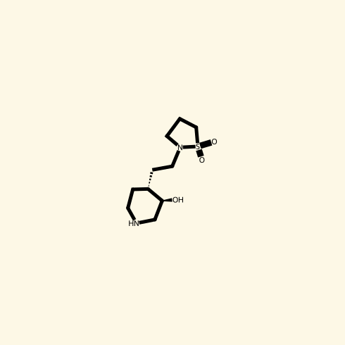 O=S1(=O)CCCN1CC[C@H]1CCNC[C@@H]1O